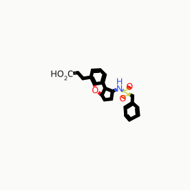 O=C(O)CCc1cccc2c1OC1CCC(NS(=O)(=O)Cc3ccccc3)C21